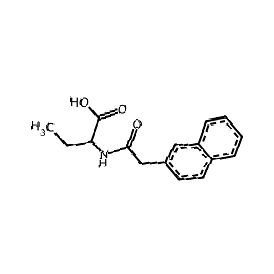 CCC(NC(=O)Cc1ccc2ccccc2c1)C(=O)O